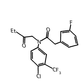 CCC(=O)CN(C(=O)Cc1cccc(F)c1)c1ccc(Cl)c(C(F)(F)F)c1